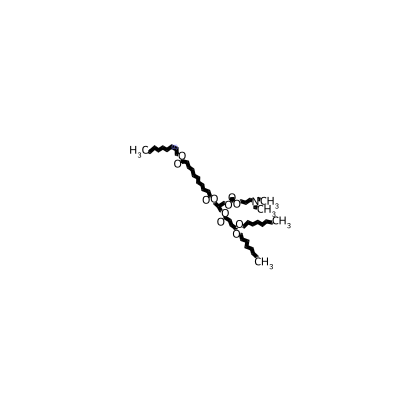 CCCCCC/C=C\COC(=O)CCCCCCCCCC(=O)OCC(COC(=O)CCC(OCCCCCCCC)OCCCCCCCC)COC(=O)OCCCN(CC)CC